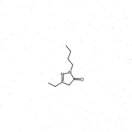 CCCCN1N=C(CC)CC1=O